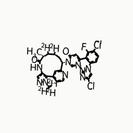 [2H]C1C[C@H](n2cnc(-c3c(-n4cc(Cl)nn4)ccc(Cl)c3F)cc2=O)c2cc(ccn2)-c2c(cnn2C([2H])([2H])[2H])NC(=O)[C@H](C)C1[2H]